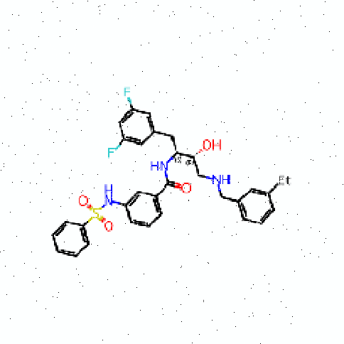 CCc1cccc(CNC[C@@H](O)[C@H](Cc2cc(F)cc(F)c2)NC(=O)c2cccc(NS(=O)(=O)c3ccccc3)c2)c1